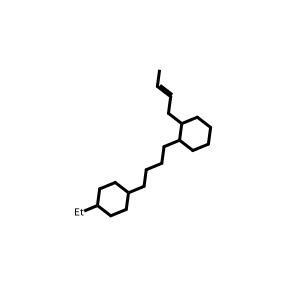 CC=CCC1CCCCC1CCCCC1CCC(CC)CC1